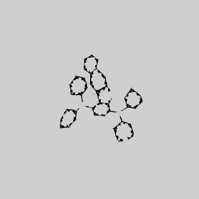 c1ccc(N(c2ccccc2)c2ccc(N(c3ccccc3)c3ccccc3)c3c2oc2cc4ccccc4cc23)cc1